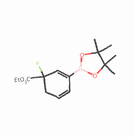 CCOC(=O)C1(F)C=C(B2OC(C)(C)C(C)(C)O2)C=CC1